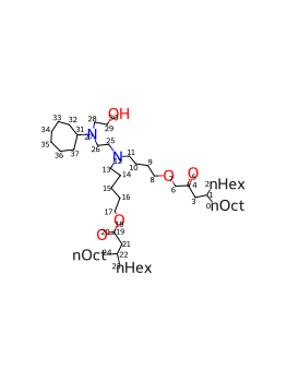 CCCCCCCCC(CCCCCC)CC(=O)COCCCCN(CCCCCOC(=O)CC(CCCCCC)CCCCCCCC)CCN(CCO)C1CCCCCC1